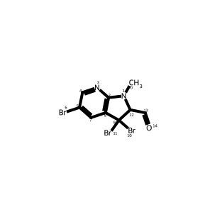 CN1c2ncc(Br)cc2C(Br)(Br)C1C=O